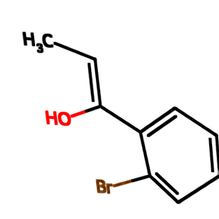 CC=C(O)c1ccccc1Br